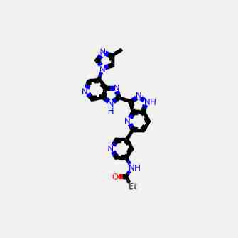 CCC(=O)Nc1cncc(-c2ccc3[nH]nc(-c4nc5c(-n6cnc(C)c6)cncc5[nH]4)c3n2)c1